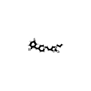 CCCN1CC(CCN2CCC(Cc3cc(F)ccc3Br)CC2)SC1=O